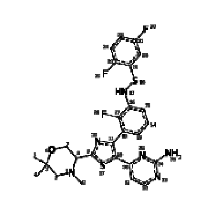 CN1CC(C)(C)OCC1c1nc(-c2cccc(NSc3cc(F)ccc3F)c2F)c(-c2ccnc(N)n2)s1